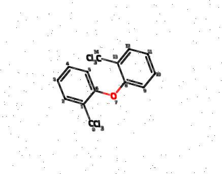 ClC(Cl)(Cl)c1ccccc1Oc1ccccc1C(Cl)(Cl)Cl